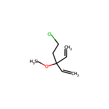 C=CC(C=C)(CCCl)O[SiH3]